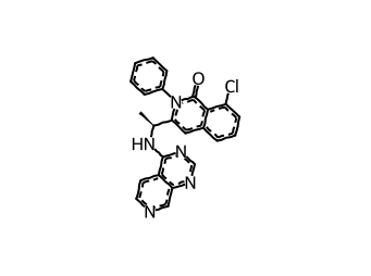 C[C@H](Nc1ncnc2cnccc12)c1cc2cccc(Cl)c2c(=O)n1-c1ccccc1